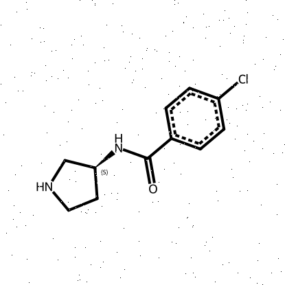 O=C(N[C@H]1CCNC1)c1ccc(Cl)cc1